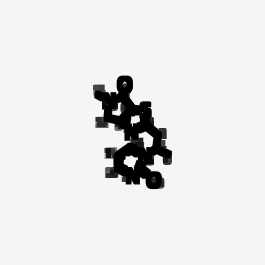 CC(Cc1nc2c(s1)C(=O)N(C)C2)n1cccnc1=O